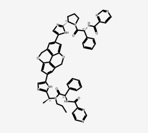 CCCN(C(=O)[C@H](NC(=O)c1ccncn1)c1ccccc1)[C@@H](C)c1ncc(-c2cc3c4c(c2)OCc2cc(-c5cnc([C@@H]6CCCN6C(=O)[C@H](NC(=O)c6ccncn6)c6ccccc6)[nH]5)cc(c2-4)OC3)[nH]1